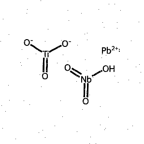 [O]=[Nb](=[O])[OH].[O]=[Ti]([O-])[O-].[Pb+2]